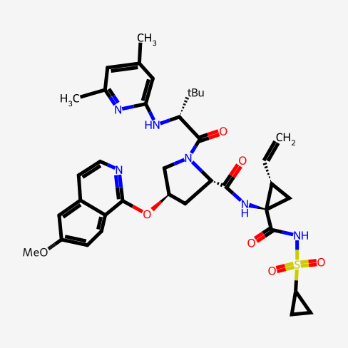 C=C[C@@H]1C[C@]1(NC(=O)[C@@H]1C[C@@H](Oc2nccc3cc(OC)ccc23)CN1C(=O)[C@H](Nc1cc(C)cc(C)n1)C(C)(C)C)C(=O)NS(=O)(=O)C1CC1